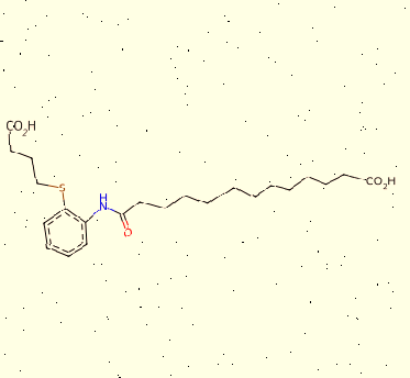 O=C(O)CCCCCCCCCCCC(=O)Nc1ccccc1SCCCC(=O)O